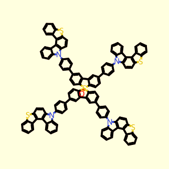 O=S12(c3ccc(-c4ccc(-n5c6ccccc6c6c7c(ccc65)sc5ccccc57)cc4)cc3-c3cc(-c4ccc(-n5c6ccccc6c6c7c(ccc65)sc5ccccc57)cc4)ccc31)c1ccc(-c3ccc(-n4c5ccccc5c5c6c(ccc54)sc4ccccc46)cc3)cc1-c1cc(-c3ccc(-n4c5ccccc5c5c6c(ccc54)sc4ccccc46)cc3)ccc12